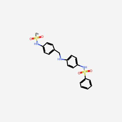 CC(C)S(=O)(=O)Nc1ccc(CNc2ccc(NS(=O)(=O)c3ccccc3)cc2)cc1